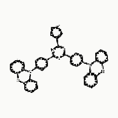 c1ccc2c(c1)Oc1ccccc1N2c1ccc(-c2nc(-c3ccc(N4c5ccccc5Oc5ccccc54)cc3)nc(-c3ccsc3)n2)cc1